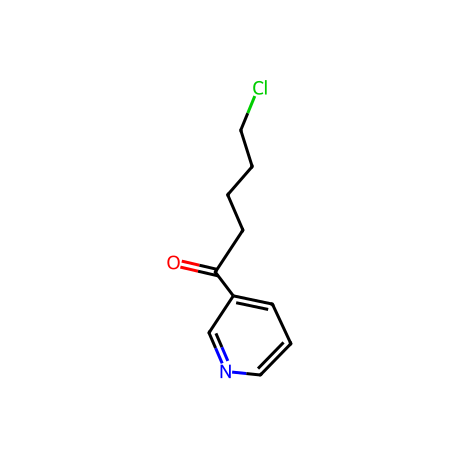 O=C(CCCCCl)c1cccnc1